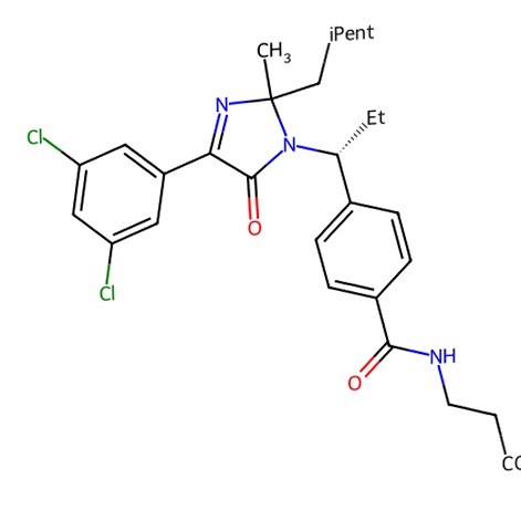 CCCC(C)CC1(C)N=C(c2cc(Cl)cc(Cl)c2)C(=O)N1[C@H](CC)c1ccc(C(=O)NCCC(=O)O)cc1